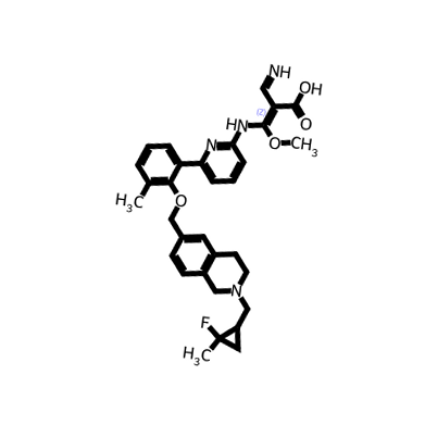 CO/C(Nc1cccc(-c2cccc(C)c2OCc2ccc3c(c2)CCN(CC2CC2(C)F)C3)n1)=C(/C=N)C(=O)O